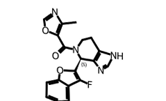 Cc1ncoc1C(=O)N1CCc2[nH]cnc2[C@H]1c1oc2ccccc2c1F